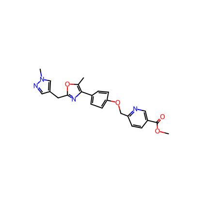 COC(=O)c1ccc(COc2ccc(-c3nc(Cc4cnn(C)c4)oc3C)cc2)nc1